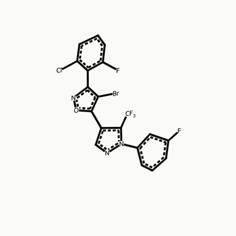 Fc1cccc(-n2ncc(-c3onc(-c4c(F)cccc4Cl)c3Br)c2C(F)(F)F)c1